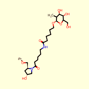 CC(C)OC[C@@H]1C[C@@H](O)CN1C(=O)CCCCCNC(=O)CCCCCO[C@@H]1OC(CO)[C@H](O)[C@H](O)C1C